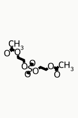 CC(=O)OCCOS(=O)(=O)OCCOC(C)=O